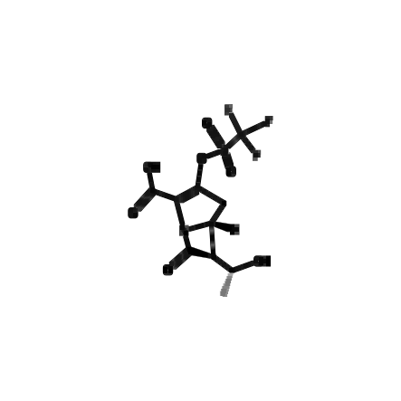 C[C@@H](O)[C@H]1C(=O)N2C(C(=O)O)=C(OS(=O)(=O)C(F)(F)F)C[C@H]12